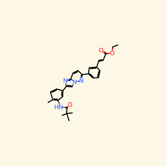 CCOC(=O)C=Cc1cccc(-c2ccc3nc(-c4ccc(C)c(NC(=O)C(C)(C)C)c4)cn3n2)c1